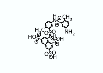 Cc1ccc(N)cc1S(=O)(=O)Nc1ccc(C)c(S(=O)(=O)Nc2cc(S(=O)(=O)O)cc3cc(S(=O)(=O)O)cc(S(=O)(=O)O)c23)c1